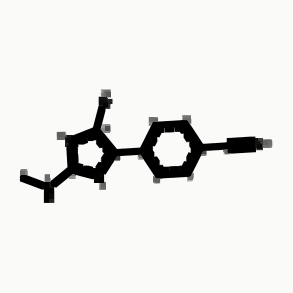 CNc1nc(-c2ccc(C#N)cc2)c(Br)s1